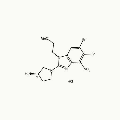 COCCn1c(N2CC[C@@H](N)C2)nc2c([N+](=O)[O-])c(Br)c(Br)cc21.Cl